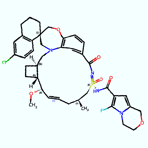 CO[C@H]1/C=C/C[C@H](C)C[S@@](=O)(NC(=O)c2cc3n(c2F)CCOC3)=NC(=O)c2ccc3c(c2)N(C[C@@H]2CC[C@H]21)C[C@@]1(CCCc2cc(Cl)ccc21)CO3